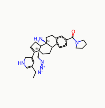 CCC1=CNCC(C2=CCC3[C@]2(CN=[N+]=[N-])CCC2c4ccc(C(=O)N5CCCC5)cc4CC[C@]23N)=C1